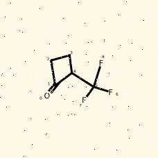 O=C1CCC1C(F)(F)F